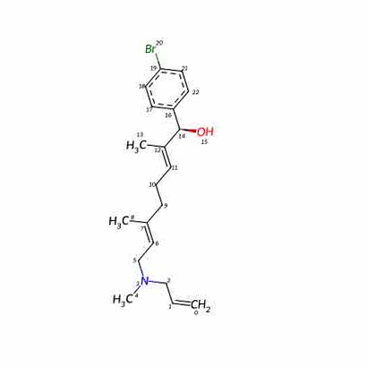 C=CCN(C)C/C=C(\C)CC/C=C(\C)[C@H](O)c1ccc(Br)cc1